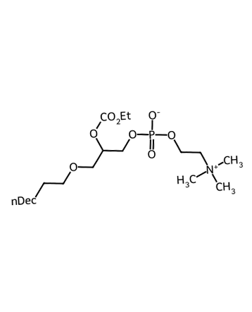 CCCCCCCCCCCCOCC(COP(=O)([O-])OCC[N+](C)(C)C)OC(=O)OCC